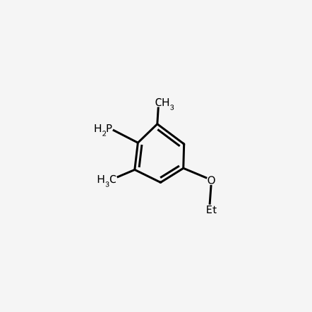 CCOc1cc(C)c(P)c(C)c1